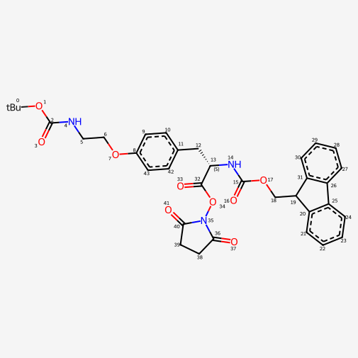 CC(C)(C)OC(=O)NCCOc1ccc(C[C@H](NC(=O)OCC2c3ccccc3-c3ccccc32)C(=O)ON2C(=O)CCC2=O)cc1